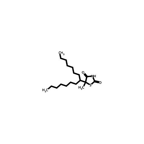 CCCCCCCC(CCCCCCC)C1(C)SC(=O)NC1=O